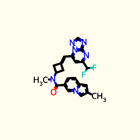 Cc1cc2ccc(C(=O)N(C)C3CC(=Cc4cc(C(F)F)nc5ncnn45)C3)cn2c1